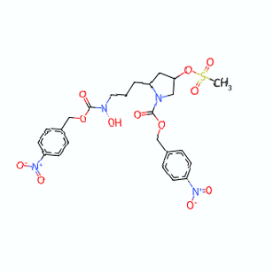 CS(=O)(=O)OC1CC(CCCN(O)C(=O)OCc2ccc([N+](=O)[O-])cc2)N(C(=O)OCc2ccc([N+](=O)[O-])cc2)C1